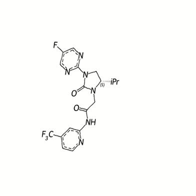 CC(C)[C@H]1CN(c2ncc(F)cn2)C(=O)N1CC(=O)Nc1cc(C(F)(F)F)ccn1